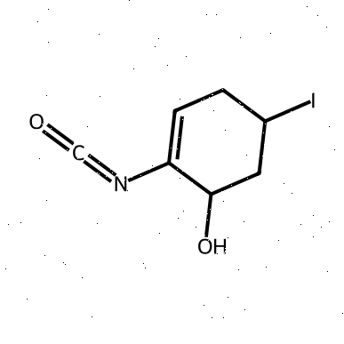 O=C=NC1=CCC(I)CC1O